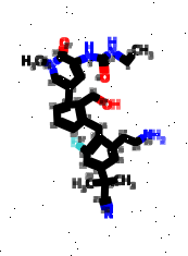 CCNC(=O)Nc1cc(-c2cccc(Cc3c(F)cc(C(C)(C)C#N)cc3CCN)c2CO)cn(C)c1=O